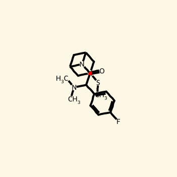 CSN1CC2CC(C1)N2C(=O)C(c1ccc(F)cc1)N(C)C